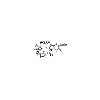 COC1=C(F)CC2C(=C1)C(CC(=O)O)=C(C)N2C(=O)c1ccc(OC(F)(F)C(F)F)s1